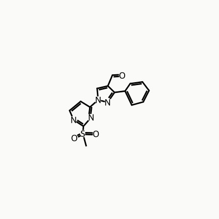 CS(=O)(=O)c1nccc(-n2cc(C=O)c(-c3ccccc3)n2)n1